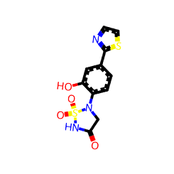 O=C1CN(c2ccc(-c3nccs3)cc2O)S(=O)(=O)N1